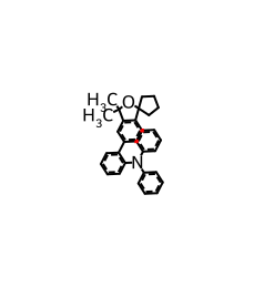 CC1(C)OC2(CCCC2)c2ccc(-c3ccccc3N(c3ccccc3)c3ccccc3)cc21